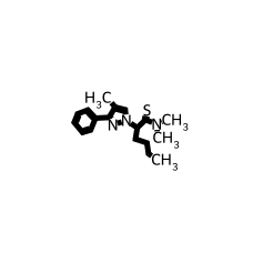 CCCCC(C(=S)N(C)C)n1cc(C)c(-c2ccccc2)n1